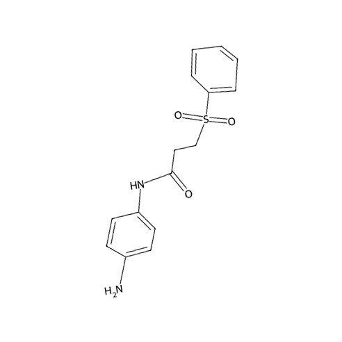 Nc1ccc(NC(=O)CCS(=O)(=O)c2ccccc2)cc1